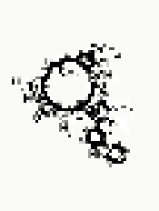 COc1cc2cc(c1Cl)N(C)C(=O)C[C@H](OC(=O)[C@H](C)N(C)C(=O)c1ccc(N)c(N3CCOCC3)c1)[C@]1(C)O[C@H]1[C@H](C)[C@@H]1C[C@@](O)(NC(=O)O1)[C@H](OC)/C=C/C=C(\C)C2